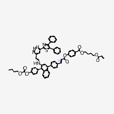 C=CC(=O)OCCCCOC(=O)c1ccc(OC(=O)/C=C/c2ccc(-c3cc(N/C=C/c4cc(-c5nc(-c6ccccc6)c(-c6ccccc6)s5)nnn4)c(-c4ccc(OC(=O)OCCCC)cc4)c4ccccc34)cc2)cc1